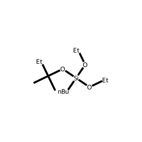 CCCC[Si](OCC)(OCC)OC(C)(C)CC